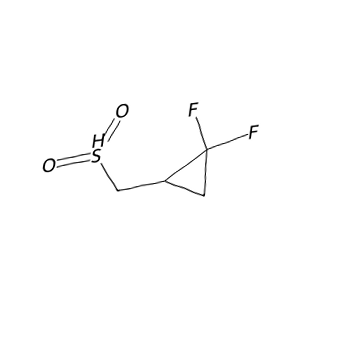 O=[SH](=O)CC1CC1(F)F